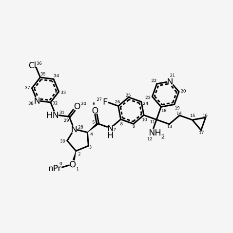 CCCO[C@@H]1C[C@H](C(=O)Nc2cc(C(N)(CCC3CC3)c3ccncc3)ccc2F)N(C(=O)Nc2ccc(Cl)cn2)C1